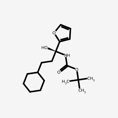 CC(C)(C)OC(=O)N[C@](O)(CCC1CCCCC1)c1ccco1